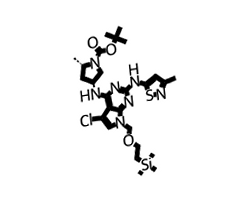 Cc1cc(Nc2nc(N[C@@H]3C[C@H](C)N(C(=O)OC(C)(C)C)C3)c3c(Cl)cn(COCC[Si](C)(C)C)c3n2)sn1